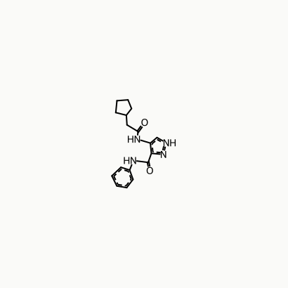 O=C(CC1CCCC1)Nc1c[nH]nc1C(=O)Nc1ccccc1